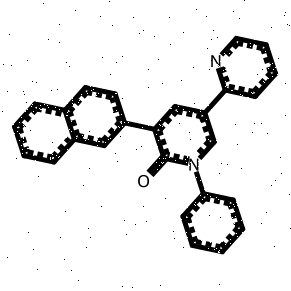 O=c1c(-c2ccc3ccccc3c2)cc(-c2ccccn2)cn1-c1ccccc1